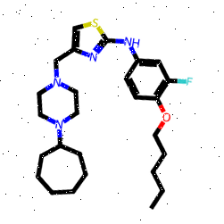 CCCCCOc1ccc(Nc2nc(CN3CCN(C4CCCCCC4)CC3)cs2)cc1F